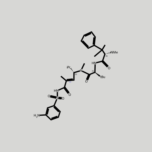 CN[C@H](C(=O)N[C@H](C(=O)N(C)[C@H](/C=C(\C)C(=O)NS(=O)(=O)c1cccc(N)c1)C(C)C)C(C)(C)C)C(C)(C)c1ccccc1